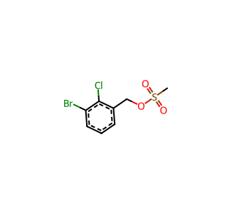 CS(=O)(=O)OCc1cccc(Br)c1Cl